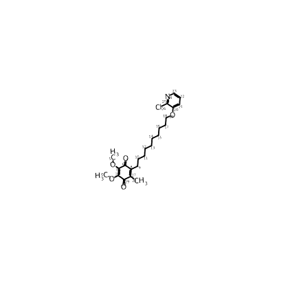 COC1=C(OC)C(=O)C(CCCCCCCCCCOc2cccnc2Cl)=C(C)C1=O